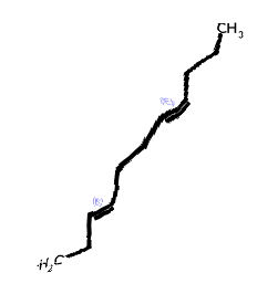 [CH2]C/C=C/CC/C=C/CCC